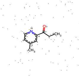 CCC(=O)c1cc(C)ccn1